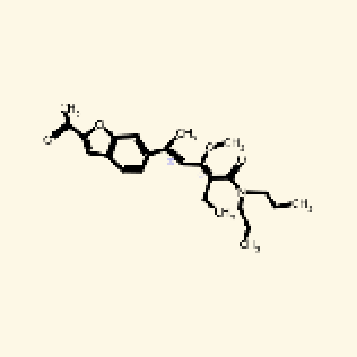 CCCN(CCC)C(=O)/C(CC)=C(/C=C(\C)c1ccc2cc(C(C)=O)oc2c1)OC